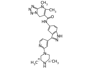 CC1=C(C(=O)Nc2ccc3[nH]nc(-c4ccnc(N5C[C@@H](C)N[C@@H](C)C5)c4)c3c2)Cn2nnnc2N1C